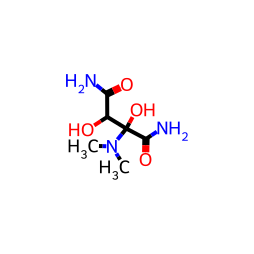 CN(C)C(O)(C(N)=O)C(O)C(N)=O